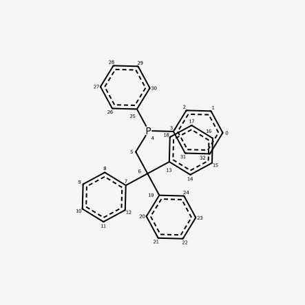 c1ccc(P(CC(c2ccccc2)(c2ccccc2)c2ccccc2)c2ccccc2)cc1